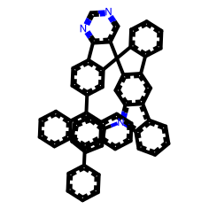 c1ccc(-c2c3ccccc3c(-c3ccc4c(c3)C3(c5ccccc5-c5cc6c7ccccc7n(-c7ccccc7)c6cc53)c3cncnc3-4)c3ccccc23)cc1